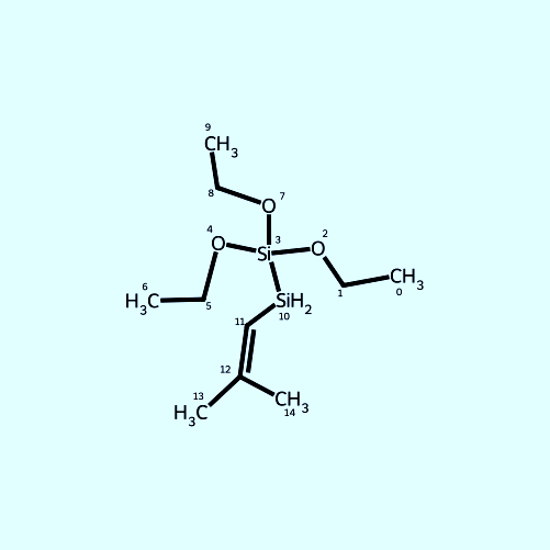 CCO[Si](OCC)(OCC)[SiH2]C=C(C)C